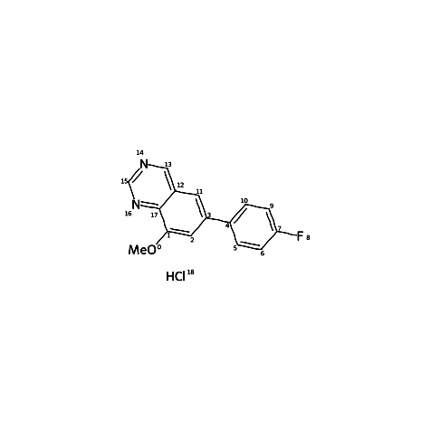 COc1cc(-c2ccc(F)cc2)cc2cncnc12.Cl